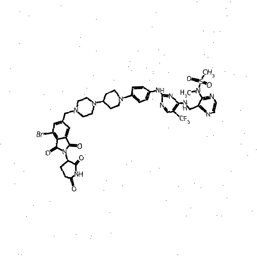 CN(c1nccnc1CNc1nc(Nc2ccc(N3CCC(N4CCN(Cc5cc(Br)c6c(c5)C(=O)N(C5CCC(=O)NC5=O)C6=O)CC4)CC3)cc2)ncc1C(F)(F)F)S(C)(=O)=O